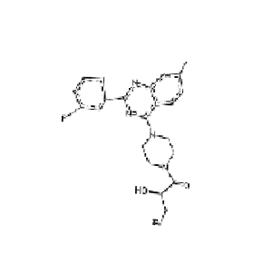 Cc1ccc2c(N3CCN(C(=O)[C@H](O)CC(C)C)CC3)nc(-c3cccc(F)c3)nc2c1